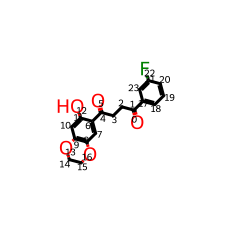 O=C(CCC(=O)c1cc2c(cc1O)OCCO2)c1cccc(F)c1